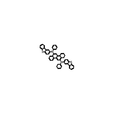 C1=CCCC(N(c2ccc3sc4ccccc4c3c2)c2cc3c(cc(N(c4ccccc4)c4ccc5sc6ccccc6c5c4)c4ccccc43)c3c2CCC=C3)=C1